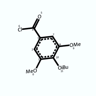 COc1cc(C(=O)Cl)cc(OC)c1OCC(C)C